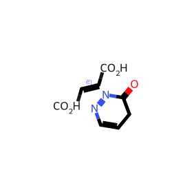 O=C(O)/C=C/C(=O)O.O=C1CC=CN=N1